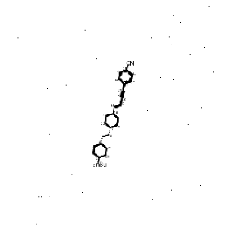 CCCC[C@H]1CC[C@H](CC[C@H]2CC[C@H](C=CC#Cc3ccc(C#N)cc3)CC2)CC1